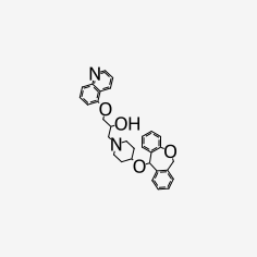 OC(COc1cccc2ncccc12)CN1CCC(OC2c3ccccc3COc3ccccc32)CC1